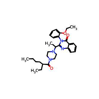 CCCCC(CC)C(=O)N1CCN(C(C)c2nc3ccccc3c(=O)n2-c2ccccc2OCC)CC1